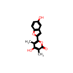 Cc1c(-c2cc3cc(O)ccc3o2)oc(=O)c(C)c1O